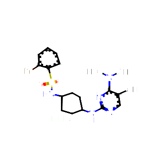 Cc1cnc(NC2CCC(NS(=O)(=O)c3ccccc3Br)CC2)nc1N(C)C.Cl